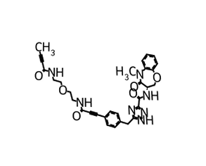 CC#CC(=O)NCCOCCNC(=O)C#Cc1ccc(Cc2nc(C(=O)N[C@H]3COc4ccccc4N(C)C3=O)n[nH]2)cc1